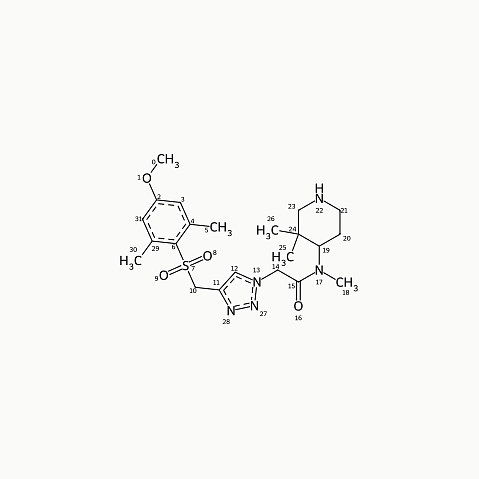 COc1cc(C)c(S(=O)(=O)Cc2cn(CC(=O)N(C)C3CCNCC3(C)C)nn2)c(C)c1